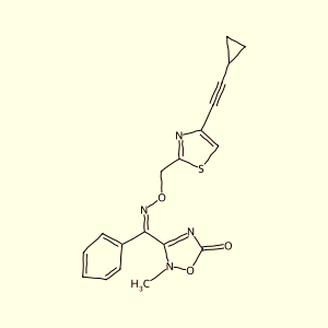 Cn1oc(=O)nc1C(=NOCc1nc(C#CC2CC2)cs1)c1ccccc1